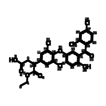 CCOC(=O)N(CC(=O)O)c1cc(Cl)c(Oc2ccc(O)c(C(=O)c3ccc(Cl)cc3Cl)c2)c(Cl)c1